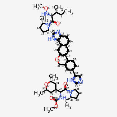 CC[C@H](C)[C@H](NOC)C(=O)N1[C@@H](C)CC[C@H]1c1nc2ccc3cc4c(cc3c2[nH]1)OCc1cc(-c2cnc([C@@H]3CC[C@H](C)N3C(=O)[C@@H](NC(=O)OC)C3C[C@@H](C)O[C@H](C)C3)[nH]2)ccc1-4